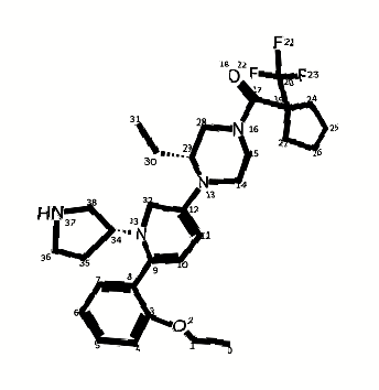 CCOc1ccccc1C1=CC=C(N2CCN(C(=O)C3(C(F)(F)F)CCCC3)C[C@H]2CC)CN1[C@@H]1CCNC1